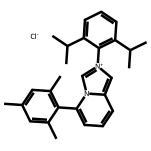 Cc1cc(C)c(-c2cccc3c[n+](-c4c(C(C)C)cccc4C(C)C)cn23)c(C)c1.[Cl-]